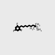 CC(C)(CCCCCCCc1c(F)cc(F)cc1F)O[SiH3]